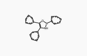 c1ccc(C2=C(c3ccccc3)ON(c3ccccc3)N2)cc1